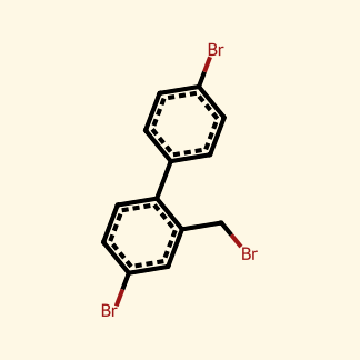 BrCc1cc(Br)ccc1-c1ccc(Br)cc1